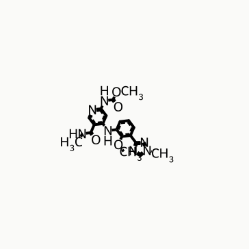 CNC(=O)c1cnc(NC(=O)OC)cc1Nc1cccc(-c2ncn(C)n2)c1OC